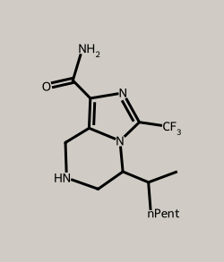 CCCCCC(C)C1CNCc2c(C(N)=O)nc(C(F)(F)F)n21